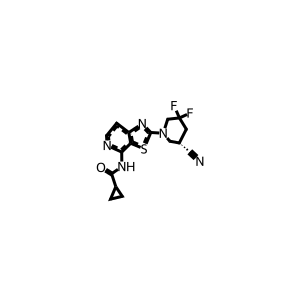 N#C[C@@H]1CN(c2nc3ccnc(NC(=O)C4CC4)c3s2)CC(F)(F)C1